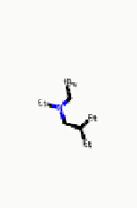 CCC(CC)CN(CC)CC(C)(C)C